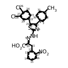 Cc1ccc(-c2nc(NN=C(Cc3ccccc3[N+](=O)[O-])C(=O)O)sc2-c2ccc(Cl)c(Cl)c2)cc1